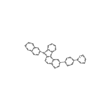 c1ccc(-c2ccc(-c3ccc4ccc5c(c4c3)c3ccccc3n5-c3ccc4ccccc4c3)cc2)cc1